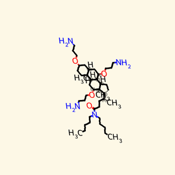 CCCCCN(CCCCC)C(=O)CC[C@@H](C)[C@H]1CC[C@H]2[C@@H]3[C@H](OCCCN)C[C@@H]4CC(OCCCN)CC[C@]4(C)[C@H]3C[C@H](OCCCN)[C@]12C